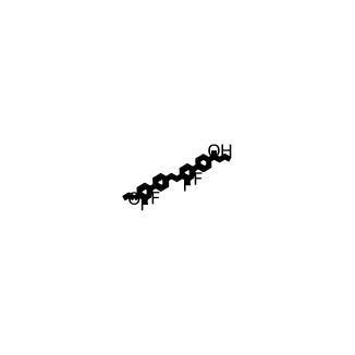 CCCC(O)C1CC=C(c2ccc(CCc3ccc(-c4ccc(OCC)c(F)c4F)cc3)c(F)c2F)CC1